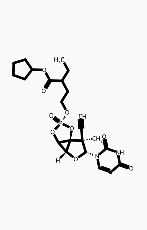 C#C[C@@]1(C)[C@H](n2ccc(=O)[nH]c2=O)O[C@@H]2C3O[P@](=O)(OCCC(CC)C(=O)OC4CCCC4)O[C@]321